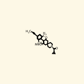 CC#Cc1cc(C)c(C2=C(OC)CC3(CCN(C(=O)C4CC4)CC3)CC2=O)c(C)c1